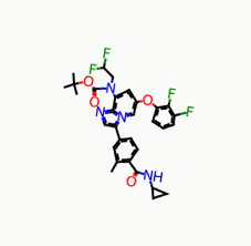 Cc1cc(-c2cnc3c(N(CC(F)F)C(=O)OC(C)(C)C)cc(Oc4cccc(F)c4F)cn23)ccc1C(=O)NC1CC1